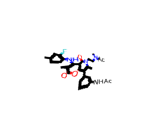 CC(=O)Nc1cccc(-c2c(C)n(CCN(C)C(C)=O)c(=O)c3c(Nc4ccc(C)cc4F)c(C)c(=O)oc23)c1